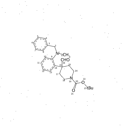 CN(Cc1ccccc1)c1ccccc1C1(C=O)CCN(C(=O)OC(C)(C)C)CC1